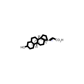 C[C@]12CC[C@H]3[C@@H](CCC4CC(O)CC[C@@]43C)[C@@H]1CC[C@@H]2/C=C/C(=O)O